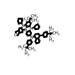 CC(C)(C)c1ccc(-c2ccc(N(c3ccc(C(C)(C)C)cc3)c3ccc4c(c3)N(c3ccccc3)c3cc(C(C)(C)C)cc5c3B4c3cc4cocc4cc3N5c3ccccc3)c3ccccc23)cc1